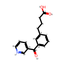 O=C(O)CCCc1cccc(C(=O)c2cccnc2)c1